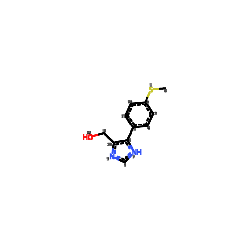 CSc1ccc(-c2[nH]cnc2CO)cc1